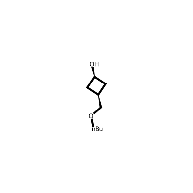 CCCCOC[C@H]1C[C@@H](O)C1